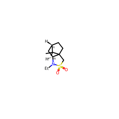 CCN1[C@H]2C[C@@H]3CCC2(CS1(=O)=O)C3(C)C